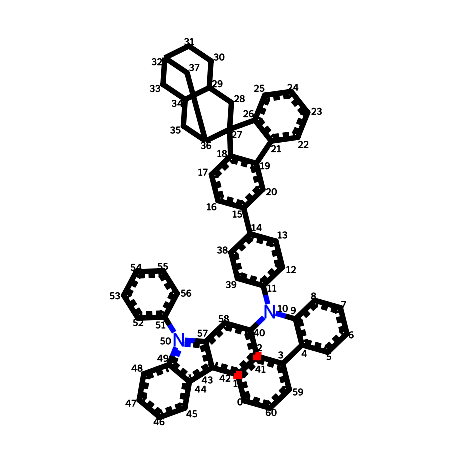 c1ccc(-c2ccccc2N(c2ccc(-c3ccc4c(c3)-c3ccccc3C43CC4CCC5CC4CC3C5)cc2)c2ccc3c4ccccc4n(-c4ccccc4)c3c2)cc1